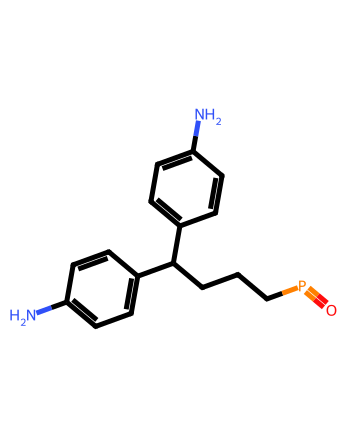 Nc1ccc(C(CCCP=O)c2ccc(N)cc2)cc1